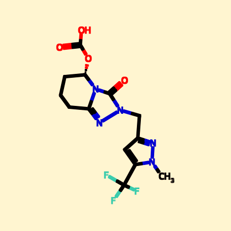 Cn1nc(Cn2nc3n(c2=O)[C@@H](OC(=O)O)CCC3)cc1C(F)(F)F